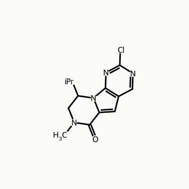 CC(C)C1CN(C)C(=O)c2cc3cnc(Cl)nc3n21